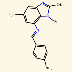 Cc1nc2cc(C(F)(F)F)cc(N=Cc3ccc([N+](=O)[O-])cc3)c2n1C(C)C